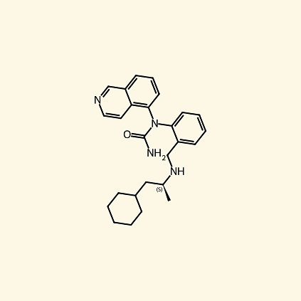 C[C@@H](CC1CCCCC1)NCc1ccccc1N(C(N)=O)c1cccc2cnccc12